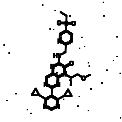 CCS(=O)(=O)c1ccc(CNc2nc3cnc(-c4c(C5CC5)ncnc4C4CC4)nc3n([C@H](C)COC)c2=O)nc1